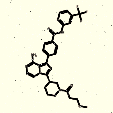 COCCC(=O)N1CCC[C@@H](c2nc(-c3ccc(C(=O)Nc4cc(C(F)(F)F)ccn4)cc3)c3c(N)nccn23)C1